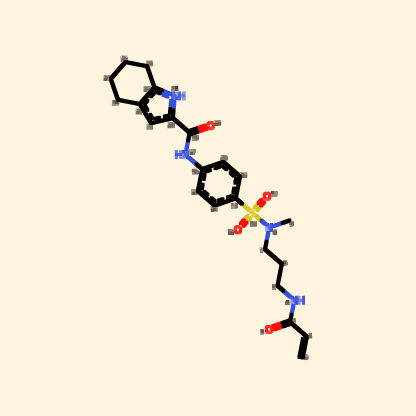 C=CC(=O)NCCCN(C)S(=O)(=O)c1ccc(NC(=O)c2cc3c([nH]2)CCCC3)cc1